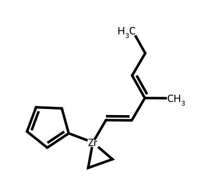 CCC=C(C)C=[CH][Zr]1([C]2=CC=CC2)[CH2][CH2]1